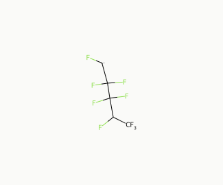 F[CH]C(F)(F)C(F)(F)C(F)C(F)(F)F